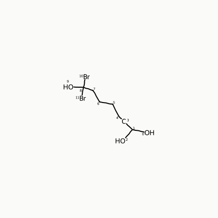 OC(O)CCCCCC(O)(Br)Br